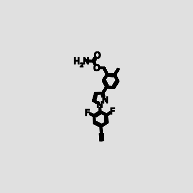 C#Cc1cc(F)c(-n2ccc(-c3ccc(C)c(COC(N)=O)c3)n2)c(F)c1